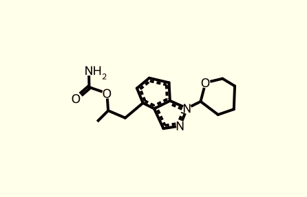 CC(Cc1cccc2c1cnn2C1CCCCO1)OC(N)=O